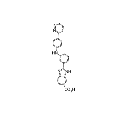 O=C(O)c1ccc2nc(-c3cccc(Nc4ccc(-c5cccnn5)cc4)c3)[nH]c2c1